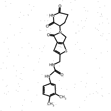 Cc1ccc(NC(=O)NCc2cc3c(s2)CN(C2CCC(=O)NC2=O)C3=O)cc1C